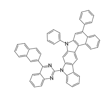 c1ccc(-c2cc3c(c4ccccc24)c2cc4c5ccccc5n(-c5nc(-c6ccc7ccccc7c6)c6ccccc6n5)c4cc2n3-c2ccccc2)cc1